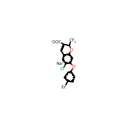 CCc1ccc(Oc2cc3c(cc2Cl)C=C(C(=O)[O-])C(C(F)(F)F)O3)cc1.[Na+]